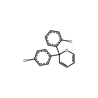 Clc1ccc(C2(c3ccccc3Cl)C=CC=CO2)cc1